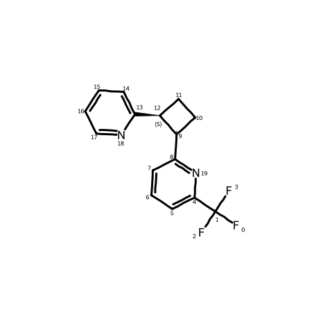 FC(F)(F)c1cccc([C]2CC[C@@H]2c2ccccn2)n1